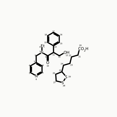 CCN(Cc1ccncc1)C(=O)C(CO)c1ccccc1.O=C(O)CCCCC1CCSS1